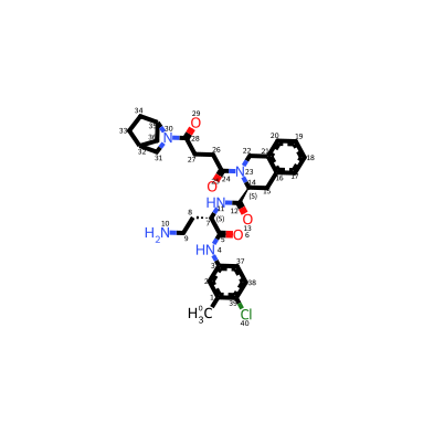 Cc1cc(NC(=O)[C@H](CCN)NC(=O)[C@@H]2Cc3ccccc3CN2C(=O)CCC(=O)N2CC3CCC2C3)ccc1Cl